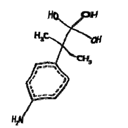 CC(C)(c1ccc(N)cc1)C(O)(O)O